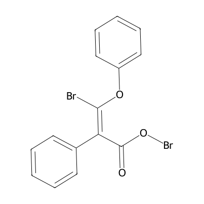 O=C(OBr)C(=C(Br)Oc1ccccc1)c1ccccc1